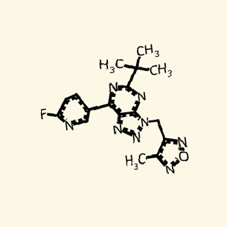 Cc1nonc1Cn1nnc2c(-c3ccc(F)nc3)nc(C(C)(C)C)nc21